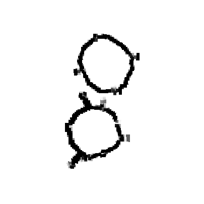 C1CNCCSCCNCCN1.O=C1CSCC(=O)NCCNCCN1